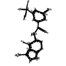 Nc1n[nH]c2ccc(NC(=O)c3cc(F)cc(C(F)(F)F)c3)c(I)c12